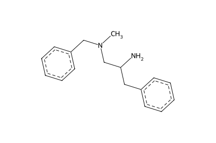 CN(Cc1ccccc1)CC(N)Cc1ccccc1